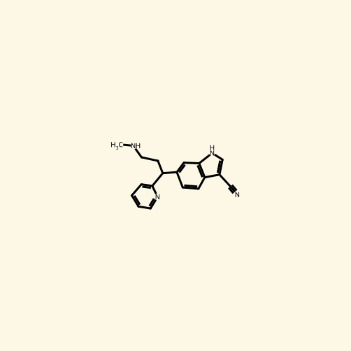 CNCCC(c1ccc2c(C#N)c[nH]c2c1)c1ccccn1